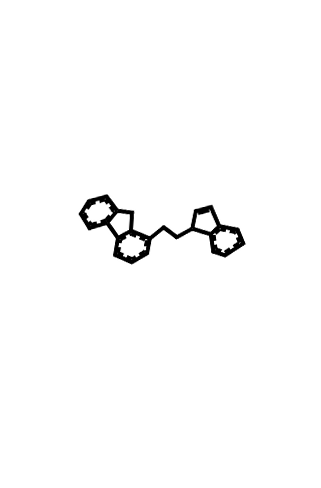 C1=CC(CCc2cccc3c2Cc2ccccc2-3)c2ccccc21